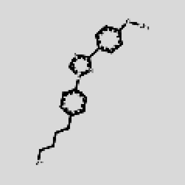 CC(=O)CCCCc1ccc(-n2cnc(-c3ccc(OC(F)(F)F)cc3)n2)cc1